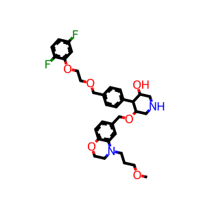 COCCCN1CCOc2ccc(COC3CNCC(O)C3c3ccc(COCCOc4cc(F)ccc4F)cc3)cc21